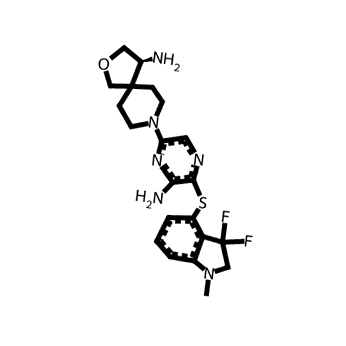 CN1CC(F)(F)c2c(Sc3ncc(N4CCC5(CC4)COC[C@H]5N)nc3N)cccc21